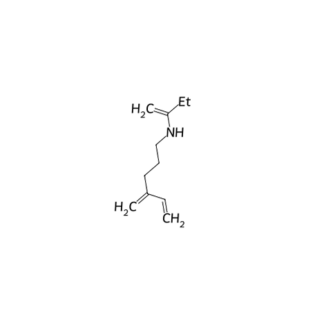 C=CC(=C)CCCNC(=C)CC